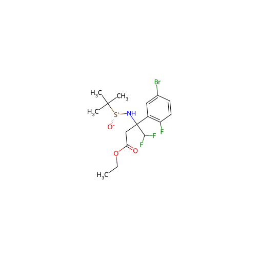 CCOC(=O)CC(N[S@+]([O-])C(C)(C)C)(c1cc(Br)ccc1F)C(F)F